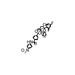 CC(CC1COC(c2ccc(C(=O)Nc3ccc([N+](=O)[O-])cc3)cc2)OC1)C(O)(Cn1cncn1)c1ccc(F)cc1F